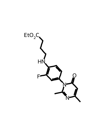 CCOC(=O)CCCNc1ccc(-n2c(C)nc(C)cc2=O)cc1F